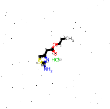 CCCOC(=O)Cc1csc(N)n1.Cl